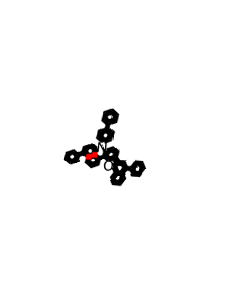 c1ccc(-c2ccc(N(c3ccc(-c4ccccc4)cc3)c3ccc4c(oc5c6ccccc6c(-c6ccccc6)cc45)c3-c3ccccc3)cc2)cc1